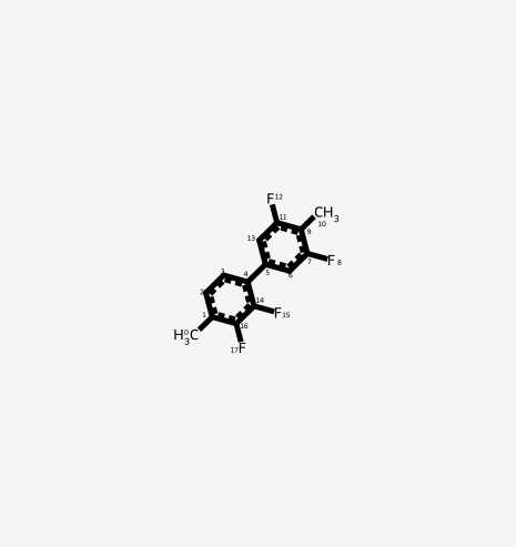 Cc1ccc(-c2cc(F)c(C)c(F)c2)c(F)c1F